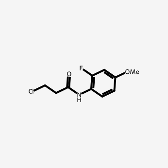 COc1ccc(NC(=O)CCCl)c(F)c1